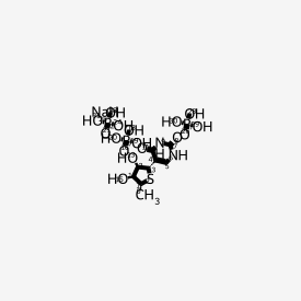 C[C@H]1S[C@@H](c2c[nH]c(=O)[nH]c2=O)[C@H](O)[C@@H]1O.O=P(O)(O)O.O=P(O)(O)O.O=P(O)(O)O.[NaH]